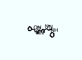 CN(CC(O)c1ccccc1)C(=O)c1cc(-c2cc(Nc3ccccc3)ncn2)c[nH]1